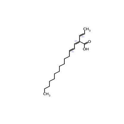 C/C=C/C(=C/C=C/CCCCCCCCCCC)C(=O)O